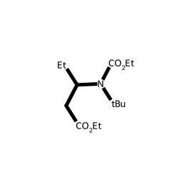 CCOC(=O)CC(CC)N(C(=O)OCC)C(C)(C)C